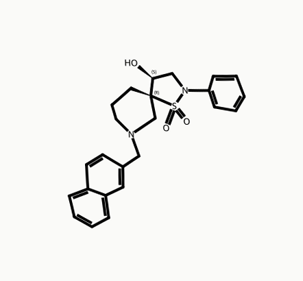 O=S1(=O)N(c2ccccc2)C[C@H](O)[C@]12CCCN(Cc1ccc3ccccc3c1)C2